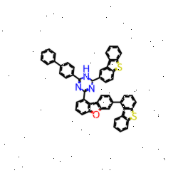 c1ccc(-c2ccc(C3=NC(c4cccc5oc6cc(-c7cccc8sc9ccccc9c78)ccc6c45)=NC(c4ccc5sc6ccccc6c5c4)N3)cc2)cc1